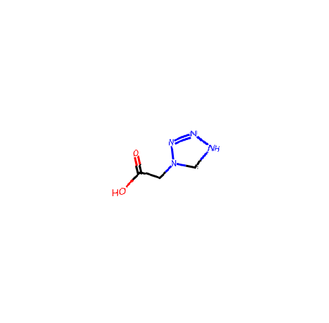 O=C(O)CN1[C]NN=N1